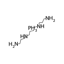 NCCCNCCCCNCCCN.P